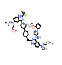 CCCN(C)c1ccc2nc(C3CC3C3CCC(C4CCN(c5nc(C6(F)CC6)nc6ccc(N(C)CCO)cc56)CC4)CC3)nc(NC3CCN(c4ccccc4OC)C3)c2c1